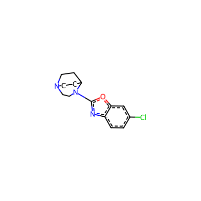 Clc1ccc2nc(N3CCN4CCC3CC4)oc2c1